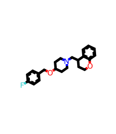 Fc1ccc(COC2CCN(CC3CCOc4ccccc43)CC2)cc1